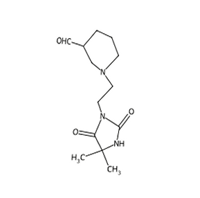 CC1(C)NC(=O)N(CCN2CCCC(C=O)C2)C1=O